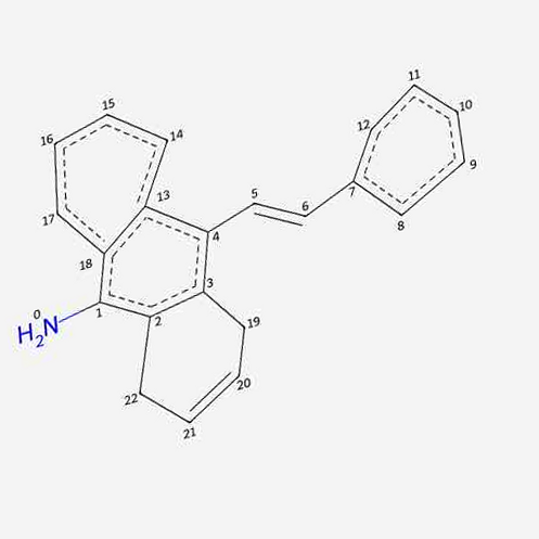 Nc1c2c(c(/C=C/c3ccccc3)c3ccccc13)CC=CC2